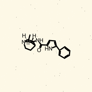 C[C@H]1[C@H](NC(=O)c2ccc(-c3ccccc3)[nH]2)C2CCN1CC2